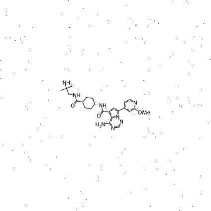 COc1cc(-c2cc(C(=O)N[C@H]3CC[C@H](C(=O)NCC(C)(C)N)CC3)c3c(N)ncnn23)ccn1